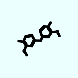 COc1cc(Cc2ccc(C)c(OC)c2)ccc1C